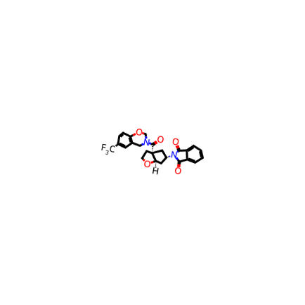 O=C1c2ccccc2C(=O)N1[C@@H]1C[C@H]2OCC[C@@]2(C(=O)N2COc3ccc(C(F)(F)F)cc3C2)C1